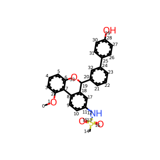 COc1cccc2c1-c1ccc(NS(C)(=O)=O)cc1C(c1cccc(-c3ccc(O)cc3)c1)O2